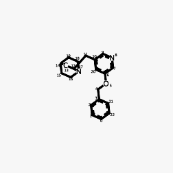 c1ccc(COc2cncc(CC3CC4CCN3CC4)c2)cc1